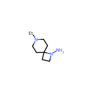 CCN1CCC2(CC1)CCN2N